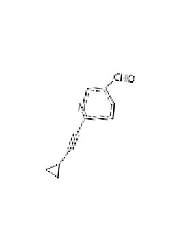 O=Cc1ccc(C#CC2CC2)nc1